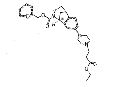 CCOC(=O)CCN1CCN(c2ccc3c(c2)[C@@H]2CC3CCN2C(=O)OCc2ccccc2)CC1